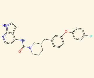 O=C(Nc1ccnc2[nH]ccc12)N1CCCC(Cc2cccc(Oc3ccc(F)cc3)c2)C1